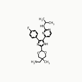 CC(C)Nc1nccc(-c2[nH]c(C3OCC(C)(CN)CO3)nc2-c2ccc(F)cc2)n1